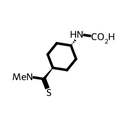 CNC(=S)[C@H]1CC[C@H](NC(=O)O)CC1